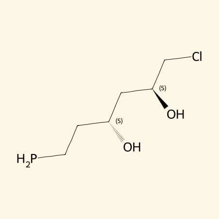 O[C@H](CCl)C[C@H](O)CCP